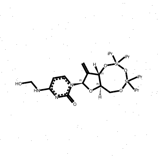 C=C1[C@H](n2ccc(NCO)nc2=O)O[C@@H]2CO[Si](C(C)C)(C(C)C)O[Si](C(C)C)(C(C)C)O[C@@H]12